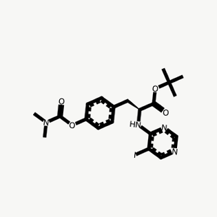 CN(C)C(=O)Oc1ccc(C[C@H](Nc2ncncc2I)C(=O)OC(C)(C)C)cc1